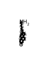 CC12CCC(=O)CC1CCC1C2CCC2(C)C(OCCCCCCN)CCC12